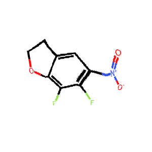 O=[N+]([O-])c1cc2c(c(F)c1F)OCC2